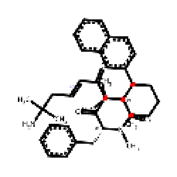 CN1CCCCC1N(C)C(=O)[C@@H](Cc1ccccc1)N(C)C(=O)[C@@H](Cc1ccc2ccccc2c1)N(C)C(=O)/C=C/CC(C)(C)N